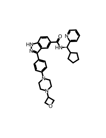 O=C(N[C@@H](c1ccccn1)C1CCCC1)c1ccc2[nH]nc(-c3ccc(N4CCN(C5COC5)CC4)cc3)c2c1